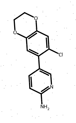 Nc1ccc(-c2cc3c(cc2Cl)OCCO3)cn1